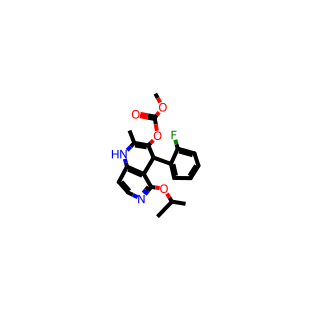 COC(=O)OC1=C(C)Nc2ccnc(OC(C)C)c2C1c1ccccc1F